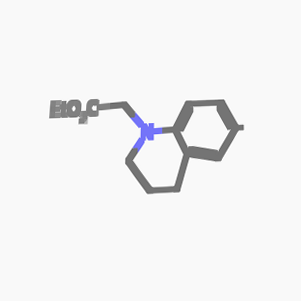 CCOC(=O)CN1CCCc2c[c]ccc21